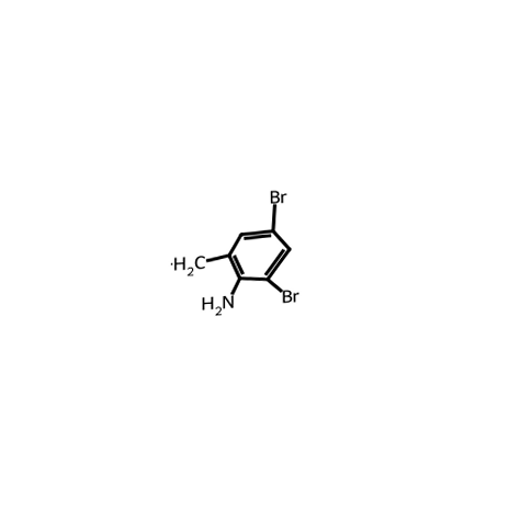 [CH2]c1cc(Br)cc(Br)c1N